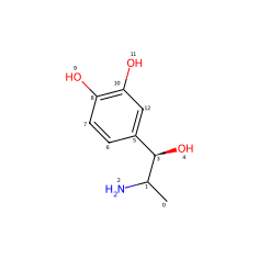 CC(N)[C@H](O)c1ccc(O)c(O)c1